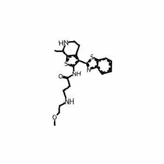 COCCNCCC(=O)Nc1sc2c(c1-c1nc3ccccc3s1)CCNC2C